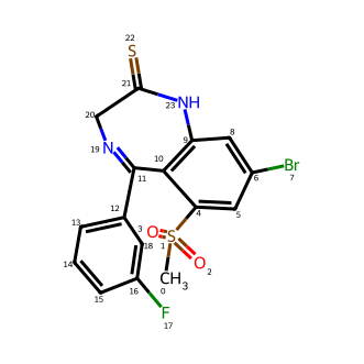 CS(=O)(=O)c1cc(Br)cc2c1C(c1cccc(F)c1)=NCC(=S)N2